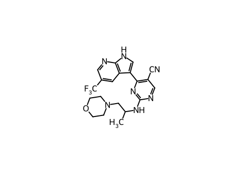 CC(CN1CCOCC1)Nc1ncc(C#N)c(-c2c[nH]c3ncc(C(F)(F)F)cc23)n1